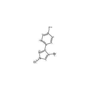 CCn1cc(Br)c(-c2ccc(F)cn2)n1